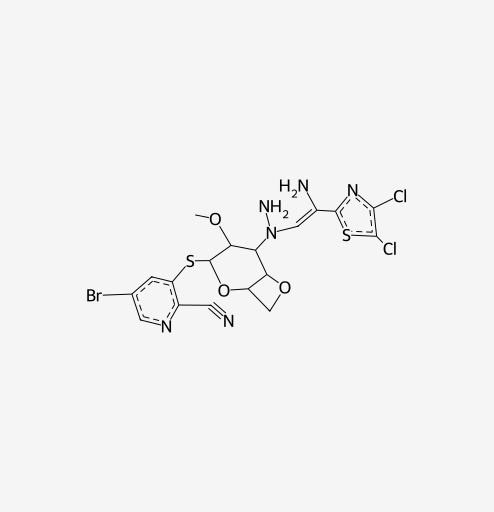 COC1C(Sc2cc(Br)cnc2C#N)OC2COC2C1N(N)/C=C(\N)c1nc(Cl)c(Cl)s1